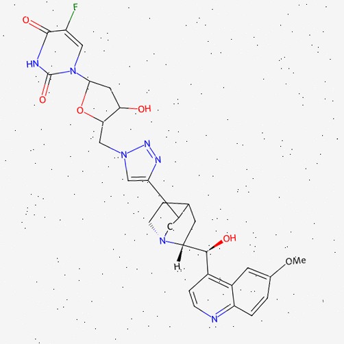 COc1ccc2nccc([C@H](O)[C@H]3CC4CC[N@]3CC4c3cn(CC4OC(n5cc(F)c(=O)[nH]c5=O)CC4O)nn3)c2c1